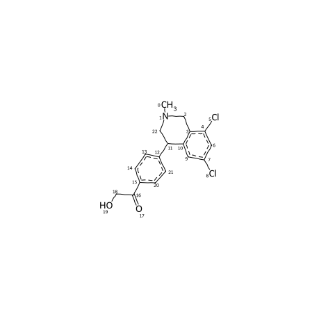 CN1Cc2c(Cl)cc(Cl)cc2C(c2ccc(C(=O)CO)cc2)C1